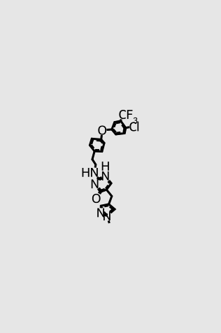 Cn1cc(Cc2c[nH]c(NCCc3ccc(Oc4ccc(Cl)c(C(F)(F)F)c4)cc3)nc2=O)cn1